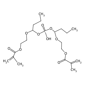 C=C(C)C(=O)OCCOC(CCC)OP(=O)(O)OC(CCC)OCCOC(=O)C(=C)C